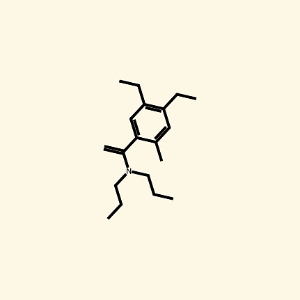 C=C(c1cc(CC)c(CC)cc1C)N(CCC)CCC